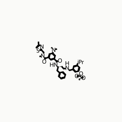 Cc1csc(CN(C)C(=O)c2cc(C(=O)N[C@H](CCNCc3cc(OS(C)(=O)=O)cc(C(C)C)c3)Cc3ccccc3)cc(N(C)C)c2)n1